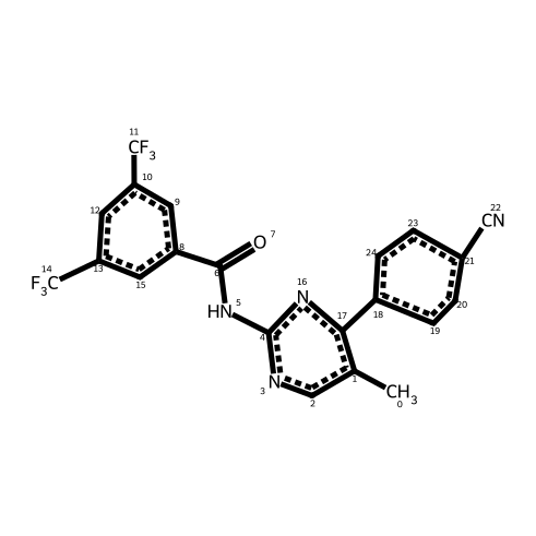 Cc1cnc(NC(=O)c2cc(C(F)(F)F)cc(C(F)(F)F)c2)nc1-c1ccc(C#N)cc1